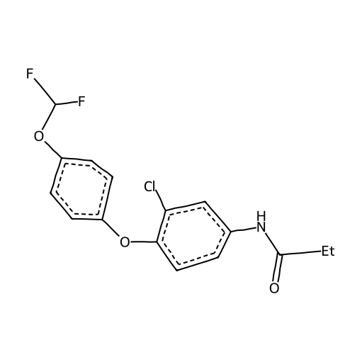 CCC(=O)Nc1ccc(Oc2ccc(OC(F)F)cc2)c(Cl)c1